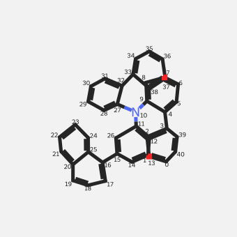 c1ccc(-c2ccccc2N(c2cccc(-c3cccc4ccccc34)c2)c2ccccc2-c2ccccc2)cc1